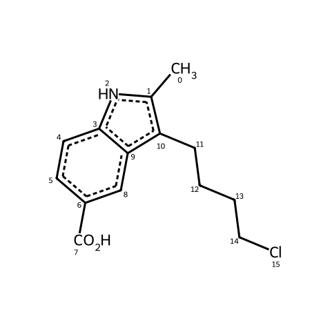 Cc1[nH]c2ccc(C(=O)O)cc2c1CCCCCl